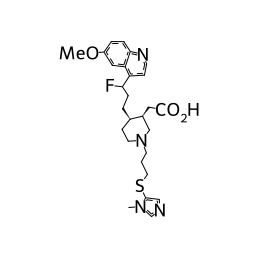 COc1ccc2nccc(C(F)CC[C@@H]3CCN(CCCSc4cncn4C)C[C@@H]3CC(=O)O)c2c1